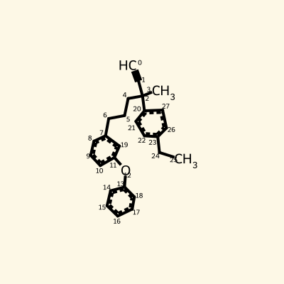 C#CC(C)(CCCc1cccc(Oc2ccccc2)c1)c1ccc(CC)cc1